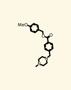 COc1ccc(COC(=O)c2ccc(CN3CCN(C)CC3)cc2)cc1